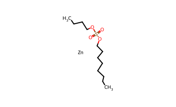 CCCCCCCCOS(=O)(=O)OCCCC.[Zn]